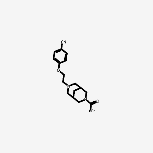 CCCC(=O)N1CC2CC(CN(CCOc3ccc(C#N)cc3)C2)C1